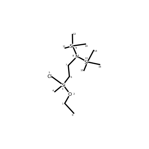 CCO[Si](C)(Cl)CCN([Si](C)(C)C)[Si](C)(C)C